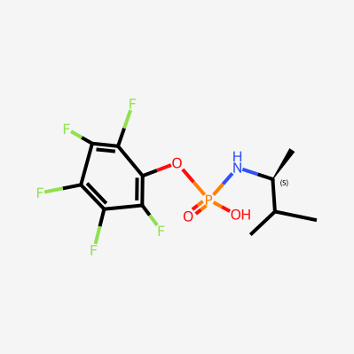 CC(C)[C@H](C)NP(=O)(O)Oc1c(F)c(F)c(F)c(F)c1F